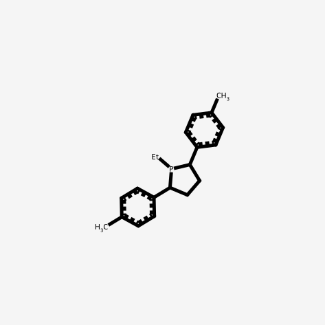 CCP1C(c2ccc(C)cc2)CCC1c1ccc(C)cc1